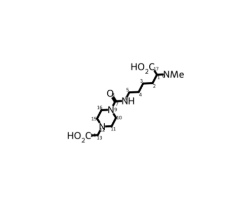 CNC(CCCCNC(=O)N1CCN(CC(=O)O)CC1)C(=O)O